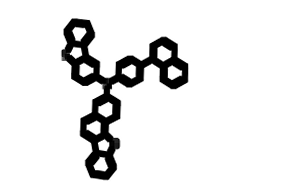 c1ccc2c(-c3ccc(N(c4ccc5c(ccc6c7ccccc7oc56)c4)c4ccc5sc6ccccc6c5c4)cc3)cccc2c1